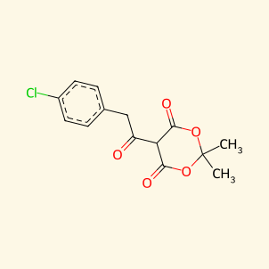 CC1(C)OC(=O)C(C(=O)Cc2ccc(Cl)cc2)C(=O)O1